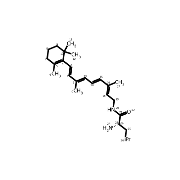 CC(C=CC1=C(C)CCCC1(C)C)=CC=CC(C)=CCNC(=O)[C@@H](N)CC(C)C